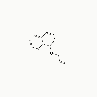 C=CCOc1cccc2cccnc12